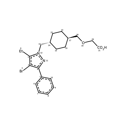 CCc1c(Br)c(-c2ccccc2)nn1C[C@H]1CC[C@H](COCC(=O)O)CC1